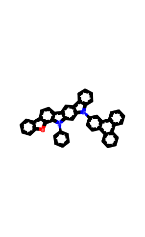 c1ccc(-n2c3cc4c(cc3c3ccc5c6ccccc6oc5c32)c2ccccc2n4-c2ccc3c4ccccc4c4ccccc4c3c2)cc1